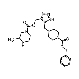 CC1CN(C(=O)OCc2nn[nH]c2CC2CCN(C(=O)OCc3ccccc3)CC2)CCN1